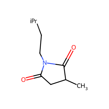 CC(C)CCN1C(=O)CC(C)C1=O